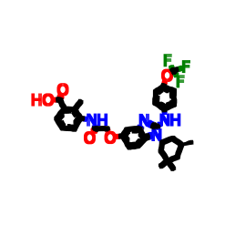 Cc1c(NC(=O)COc2ccc3c(c2)nc(Nc2ccc(OC(F)(F)F)cc2)n3[C@H]2C[C@@H](C)CC(C)(C)C2)cccc1C(=O)O